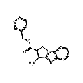 NC1c2nc3ccccc3n2CC1C(=O)OCc1ccccc1